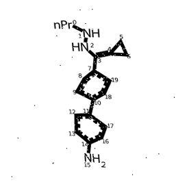 CCCNNC(=C1CC1)c1ccc(-c2ccc(N)cc2)cc1